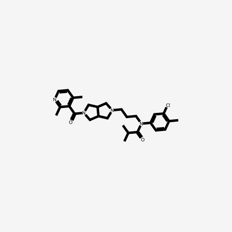 Cc1ccc(N(CCCN2CC3CN(C(=O)c4c(C)ccnc4C)CC3C2)C(=O)C(C)C)cc1Cl